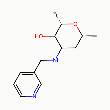 C[C@@H]1CC(NCc2cccnc2)C(O)[C@H](C)O1